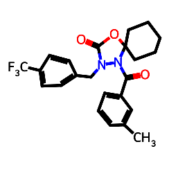 Cc1cccc(C(=O)N2N(Cc3ccc(C(F)(F)F)cc3)C(=O)OC23CCCCC3)c1